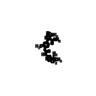 Cc1cc(-c2nn(C(C)C)c(N)c2C(N)=O)ccc1CC(=O)Nc1cc(C(C)(C)C(F)(F)F)on1